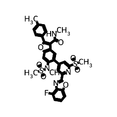 CNC(=O)c1c(-c2ccc(C)cc2)oc2cc(N(C)S(C)(=O)=O)c(-c3cc(-c4nc5c(F)cccc5o4)nc(S(C)(=O)=O)c3)cc12